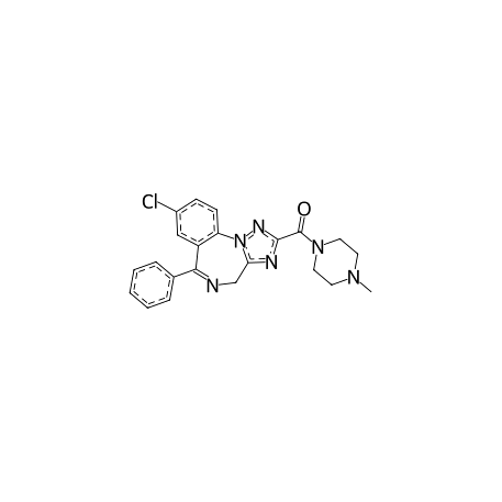 CN1CCN(C(=O)c2nc3n(n2)-c2ccc(Cl)cc2C(c2ccccc2)=NC3)CC1